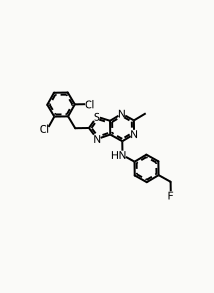 Cc1nc(Nc2ccc(CF)cc2)c2nc(Cc3c(Cl)cccc3Cl)sc2n1